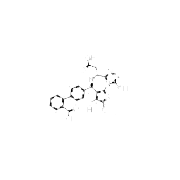 CC(=O)c1ccccc1-c1ccc(C2=N[C@@H](CC(=O)O)c3nnc(C)n3-c3sc(C)c(C)c32)cc1